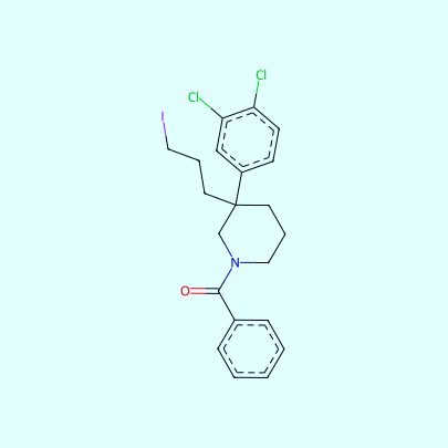 O=C(c1ccccc1)N1CCCC(CCCI)(c2ccc(Cl)c(Cl)c2)C1